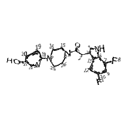 O=C(Cc1c[nH]c2c(F)cc(F)cc12)N1CCN(c2ccc(O)cn2)CC1